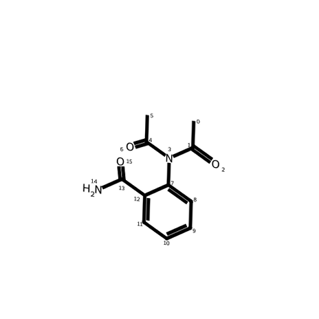 CC(=O)N(C(C)=O)c1ccccc1C(N)=O